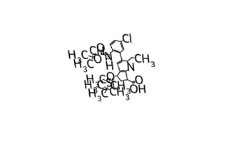 CCc1nc2c(cc1-c1cc(Cl)ccc1NC(=O)OC(C)(C)C)C(O[Si](C)(C)C(C)(C)C)CC2C(=O)O